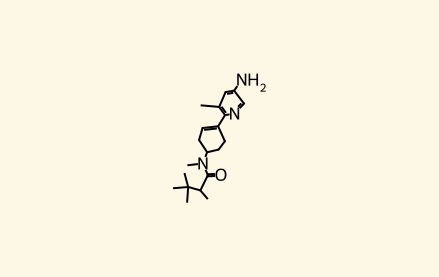 Cc1cc(N)cnc1C1=CCC(N(C)C(=O)C(C)C(C)(C)C)CC1